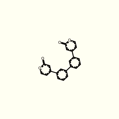 O=c1cc(-c2cccc(-c3cccc(-c4ccoc(=O)c4)c3)c2)cco1